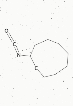 O=C=NC1CCCCCCCC1